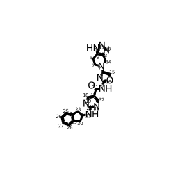 O=C(Nc1nc(N2CCc3[nH]nnc3C2)co1)c1cnc(NC2Cc3ccccc3C2)nc1